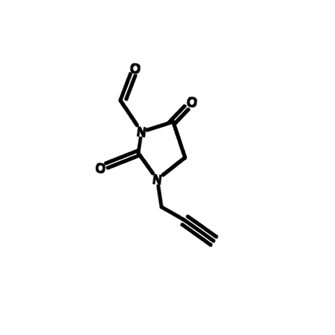 C#CCN1CC(=O)N(C=O)C1=O